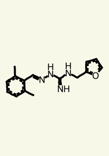 Cc1cccc(C)c1C=NNC(=N)NCc1ccco1